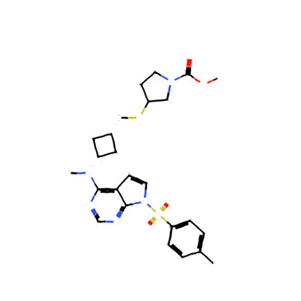 Cc1ccc(S(=O)(=O)n2ccc3c(N(C)[C@H]4C[C@@H](CSC5CCN(C(=O)OC(C)(C)C)C5)C4)ncnc32)cc1